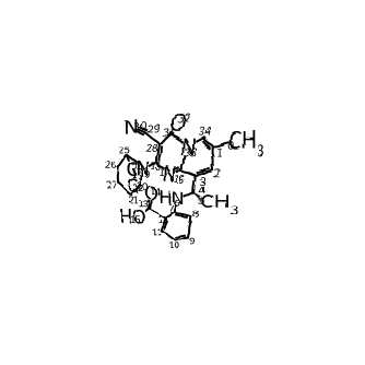 Cc1cc([C@@H](C)Nc2ccccc2C(=O)O)c2nc(N3CC4CCCC3CC4)c(C#N)c(=O)n2c1